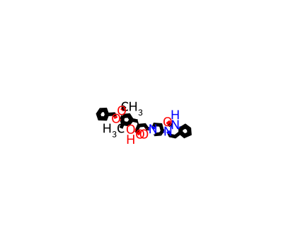 COc1cc(C[C@@H](CC(=O)N2CCC(N3CCc4ccccc4NC3=O)CC2)C(=O)O)cc(C)c1OCc1ccccc1